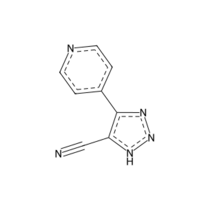 N#Cc1[nH]nnc1-c1ccncc1